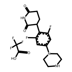 O=C(O)C(F)(F)F.O=C1CCC(c2c(F)cc(N3CCNCC3)cc2F)C(=O)N1